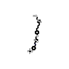 OCCn1cc(CCCCc2ccc(OCc3coc(/C=C/c4ccc(OC(F)(F)F)cc4)n3)cc2)nn1